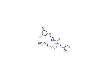 CN(C)CCNC(=O)NCCOc1cc(Cl)cc(Cl)c1.O=C(O)/C=C/C(=O)O